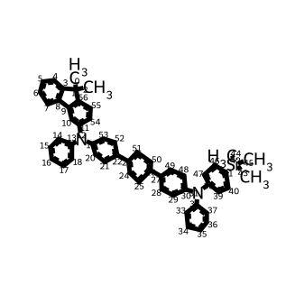 CC1(C)c2ccccc2-c2cc(N(c3ccccc3)c3ccc(-c4ccc(-c5ccc(N(c6ccccc6)c6ccc([Si](C)(C)C)cc6)cc5)cc4)cc3)ccc21